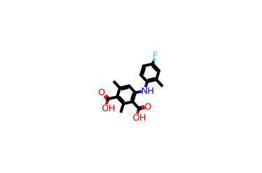 Cc1cc(F)ccc1Nc1cc(C)c(C(=O)O)c(C)c1C(=O)O